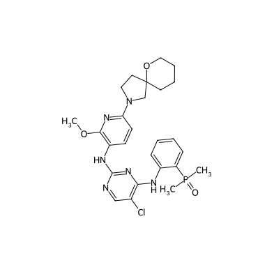 COc1nc(N2CCC3(CCCCO3)C2)ccc1Nc1ncc(Cl)c(Nc2ccccc2P(C)(C)=O)n1